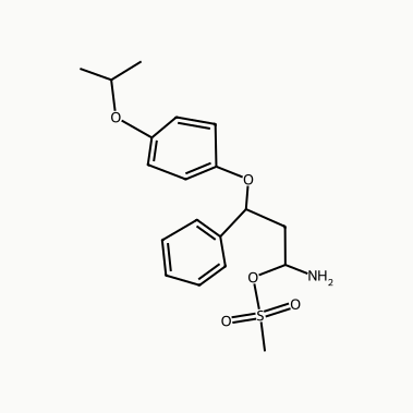 CC(C)Oc1ccc(OC(CC(N)OS(C)(=O)=O)c2ccccc2)cc1